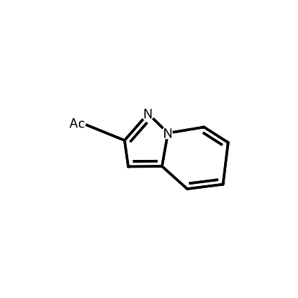 CC(=O)c1cc2ccccn2n1